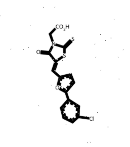 O=C(O)CN1C(=O)C(=Cc2ccc(-c3cccc(Cl)c3)o2)SC1=S